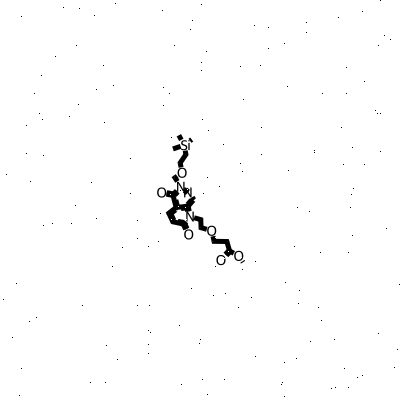 COC(=O)CCOCCn1c(=O)ccc2c(=O)n(COCC[Si](C)(C)C)ncc21